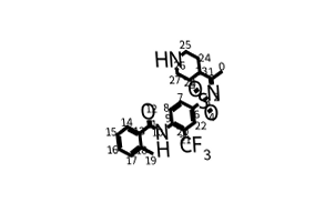 C/C(=N/S(=O)(=O)c1ccc(NC(=O)c2ccccc2C)c(C(F)(F)F)c1)C1CCNCC1